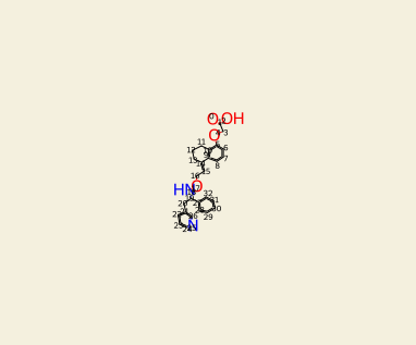 O=C(O)COc1cccc2c1CCCC2=CCONC(Cc1cccnc1)c1ccccc1